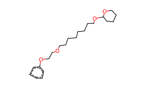 c1ccc(OCCOCCCCCCCCOC2CCCCO2)cc1